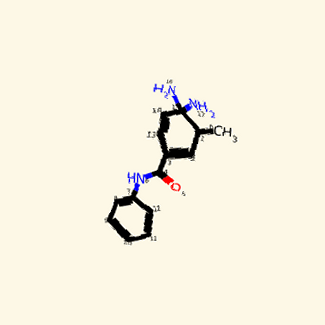 CC1C=C(C(=O)Nc2ccccc2)C=CC1(N)N